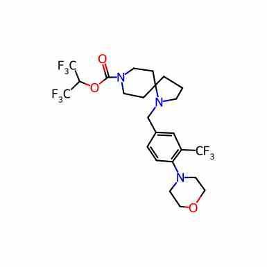 O=C(OC(C(F)(F)F)C(F)(F)F)N1CCC2(CCCN2Cc2ccc(N3CCOCC3)c(C(F)(F)F)c2)CC1